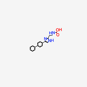 O=C(O)NCCc1nc(-c2ccc(-c3ccccc3)cc2)c[nH]1